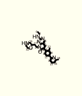 CCNc1ncc2cc(-c3ccc(-c4cccc(C)n4)cc3C)c(=O)n(CCC3CNCCO3)c2n1